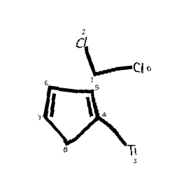 ClCCl.[Ti][C]1=CC=CC1